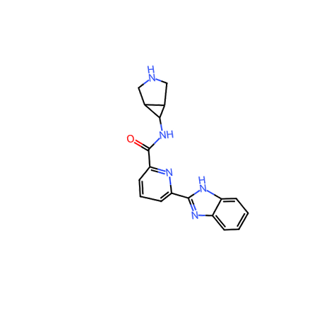 O=C(NC1C2CNCC21)c1cccc(-c2nc3ccccc3[nH]2)n1